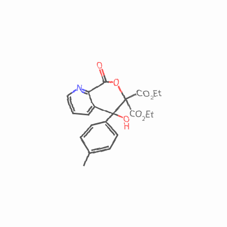 CCOC(=O)C1(C(=O)OCC)OC(=O)c2ncccc2C1(O)c1ccc(C)cc1